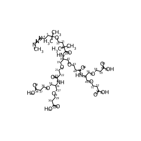 CN=[N+]=NCCC(C)(C)OCCC(C)(C)C(=O)NC(COCCC(=O)NC(COCCC(=O)O)COCCC(=O)O)COCCC(=O)NC(COCCC(=O)O)COCCC(=O)O